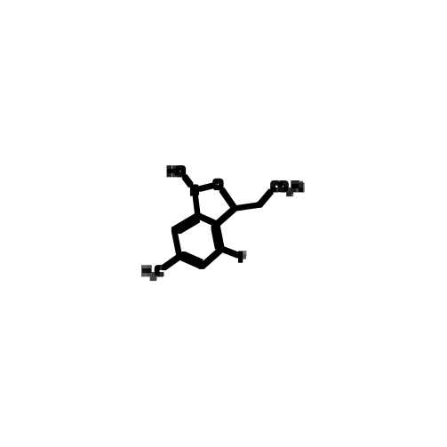 CCOC(=O)CC1OB(O)c2cc(C)cc(F)c21